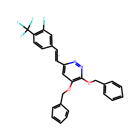 Fc1cc(/C=C/c2cc(OCc3ccccc3)c(OCc3ccccc3)nn2)ccc1C(F)(F)F